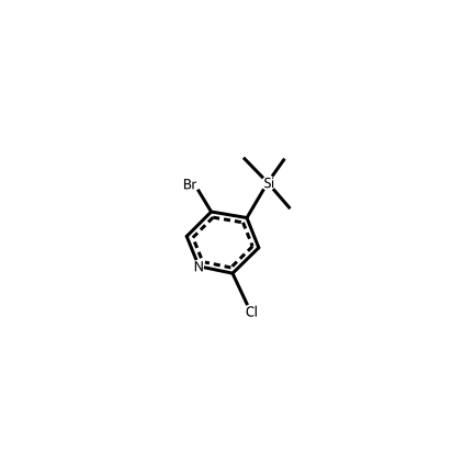 C[Si](C)(C)c1cc(Cl)ncc1Br